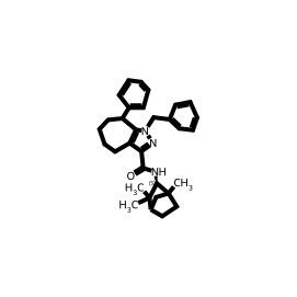 CC12CCC(C1)C(C)(C)[C@H]2NC(=O)c1nn(Cc2ccccc2)c2c1CCCCC2c1ccccc1